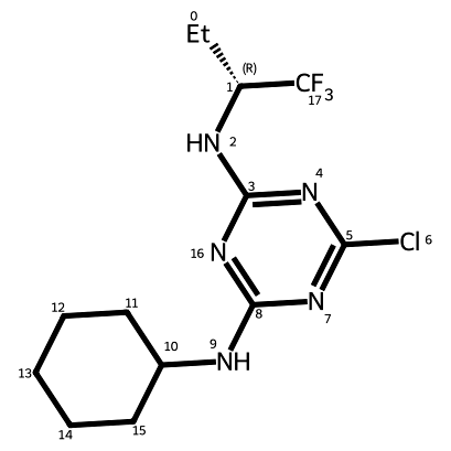 CC[C@@H](Nc1nc(Cl)nc(NC2CCCCC2)n1)C(F)(F)F